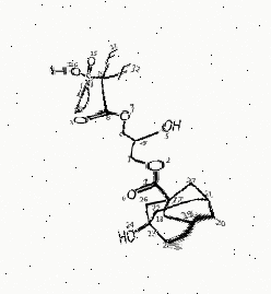 O=C(OCC(O)COC(=O)C(F)(F)S(=O)(=O)O)C12CC3CC(CC(O)(C3)C1)C2